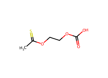 CC(=S)OCCOC(=O)O